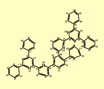 c1ccc(-c2cc(-c3ccccc3)nc(-c3cccc(-c4ncc(-c5ccccc5)c(-c5cccc(-c6cc(-c7ccccc7)cc(-c7ccccc7)n6)n5)n4)n3)c2)cc1